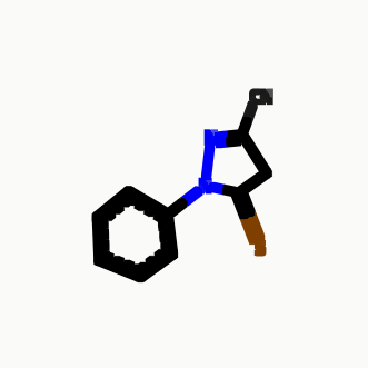 N#CC1=NN(c2ccccc2)C(=S)C1